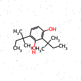 CCC(C)(C)c1ccc(O)c(C(C)(C)CC)c1O